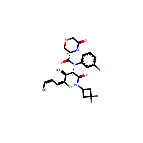 C=C(/C(Cl)=C\C=C/C)[C@@H](C(=O)NC1CC(F)(F)C1)N(C(=O)[C@@H]1COCC(=O)N1)c1cccc(F)c1